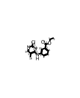 CCOC(=O)c1cccc(Nc2nc(Cl)ncc2C)c1